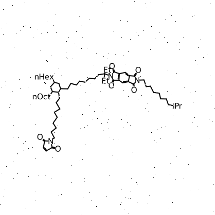 CCCCCCCCC1CC(CCCCCC)CC(CCCCCCCCC(CC)(CC)n2c(=O)c3cc4c(=O)n(CCCCCCCCC(C)C)c(=O)c4cc3c2=O)C1CCCCCCCCCN1C(=O)C=CC1=O